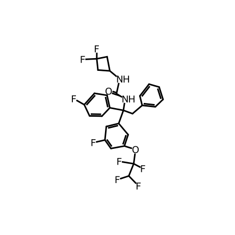 O=C(NC1CC(F)(F)C1)NC(Cc1ccccc1)(c1ccc(F)cc1)c1cc(F)cc(OC(F)(F)C(F)F)c1